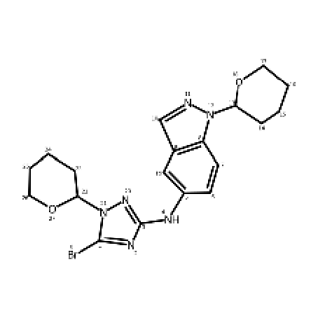 Brc1nc(Nc2ccc3c(cnn3C3CCCCO3)c2)nn1C1CCCCO1